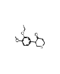 CCOc1cc(C2CSCCC2=O)ccc1OC